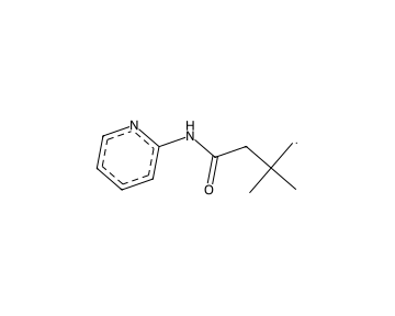 [CH2]C(C)(C)CC(=O)Nc1ccccn1